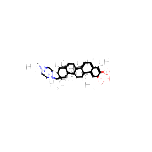 CC[C@@]12CC[C@@]3(C)C4=CC(=O)C(O)=C(C)C4=CC=C3[C@@]1(C)CC[C@@]1(C)CC[C@@](C)(CN3CCN(C)CC3)C[C@H]12